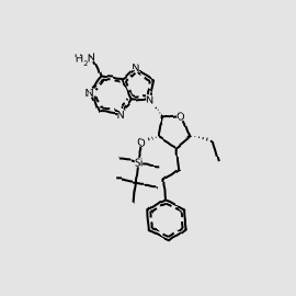 CC[C@H]1O[C@@H](n2cnc3c(N)ncnc32)[C@@H](O[Si](C)(C)C(C)(C)C)C1CCc1ccccc1